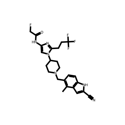 Cc1c(CN2CCC(n3cc(NC(=O)CF)nc3CCC(F)(F)F)CC2)ccc2[nH]c(C#N)cc12